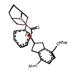 COc1ccc(OC)c2c1CC(NC(=O)C1CC3CCC(C1)N3Cc1ccccc1)C2